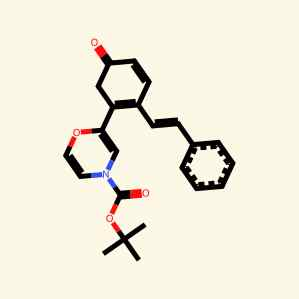 CC(C)(C)OC(=O)N1C=COC(C2=C(C=Cc3ccccc3)C=CC(=O)C2)=C1